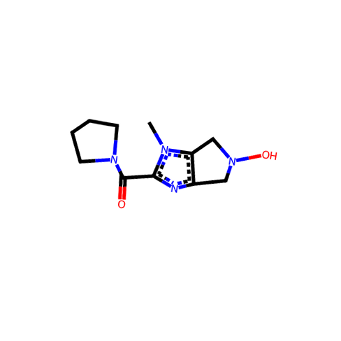 Cn1c(C(=O)N2CCCC2)nc2c1CN(O)C2